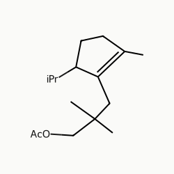 CC(=O)OCC(C)(C)CC1=C(C)CCC1C(C)C